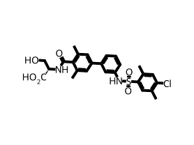 Cc1cc(S(=O)(=O)Nc2cccc(-c3cc(C)c(C(=O)N[C@@H](CO)C(=O)O)c(C)c3)c2)c(C)cc1Cl